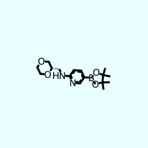 CC1(C)OB(c2ccc(NC[C@H]3COCCO3)nc2)OC1(C)C